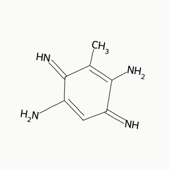 CC1=C(N)C(=N)C=C(N)C1=N